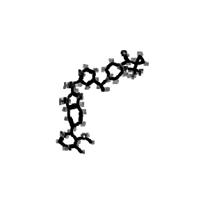 COC1C(C)=NC=NC1c1ccc2nc(Nc3cc(C(C)N4CCN(C(=O)C5(C(F)(F)F)CC5)CC4)ccn3)[nH]c2c1